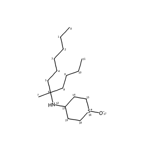 CCCCCCC(C)(CCCC)NC1CC[S+]([O-])CC1